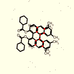 Cc1cc(C)cc(P(c2cc(C)cc(C)c2)c2cccc(OC(=O)C3CCCCC3)c2-c2c(OC(=O)C3CCCCC3)cccc2P(c2cc(C)cc(C)c2)c2cc(C)cc(C)c2)c1